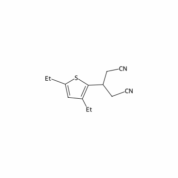 CCc1cc(CC)c(C(CC#N)CC#N)s1